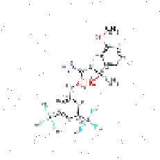 COc1cccc(C(C)(O)CC(N)OCc2cc(C(F)(F)F)cc(C(F)(F)F)c2)c1